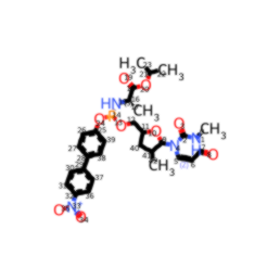 CNC(=O)N(/C=C\C=O)C1OC(COP(N[C@@H](C)C(=O)OC(C)C)Oc2ccc(-c3ccc([N+](=O)[O-])cc3)cc2)CC1C